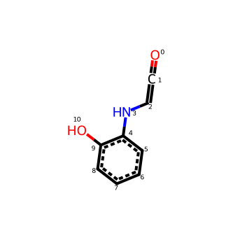 O=C=CNc1ccccc1O